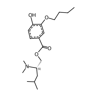 CCCCOc1cc(C(=O)OC[C@H](CC(C)C)N(C)C)ccc1O